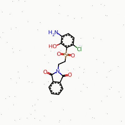 Nc1ccc(Cl)c(S(=O)(=O)CCN2C(=O)c3ccccc3C2=O)c1O